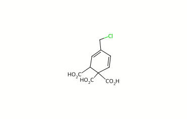 O=C(O)C1C=C(CCl)C=CC1(C(=O)O)C(=O)O